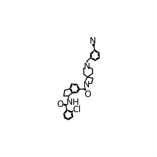 N#Cc1cccc(CN2CCC3(CC2)CCN(C(=O)c2ccc4c(c2)C(NC(=O)c2ccccc2Cl)CC4)C3)c1